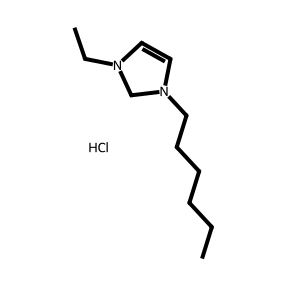 CCCCCCN1C=CN(CC)C1.Cl